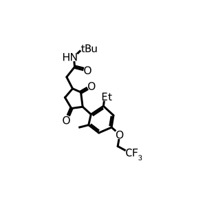 CCc1cc(OCC(F)(F)F)cc(C)c1C1C(=O)CC(CC(=O)NC(C)(C)C)C1=O